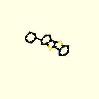 c1ccc(-c2ccc3c(c2)sc2c4ccccc4sc32)cc1